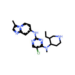 CCC1CNCCC1N(C)c1nc(Nc2ccn3c(C)cnc3c2)ncc1Cl